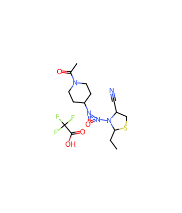 CCC1SCC(C#N)N1n1on1C1CCN(C(C)=O)CC1.O=C(O)C(F)(F)F